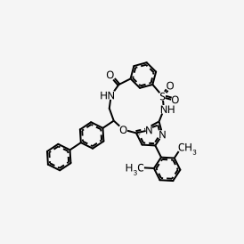 Cc1cccc(C)c1-c1cc2nc(n1)NS(=O)(=O)c1cccc(c1)C(=O)NCC(c1ccc(-c3ccccc3)cc1)O2